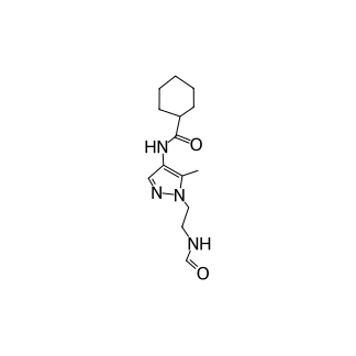 Cc1c(NC(=O)C2CCCCC2)cnn1CCNC=O